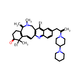 C=C1C2=C(/C=C/c3nc4ccc(CC(=C)N5CCC(N6CCCCC6)CC5)cc4c(CC)c3CN1C)C(C)(CC)C(=O)CC2